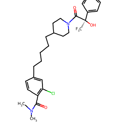 CN(C)C(=O)c1ccc(CCCCCC2CCN(C(=O)[C@](O)(c3ccccc3)C(F)(F)F)CC2)cc1Cl